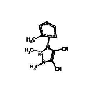 Cc1ccccc1N1C(C#N)=C(C#N)N(C)[C@@H]1C